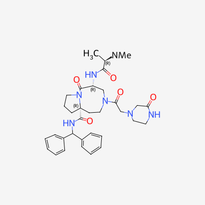 CN[C@H](C)C(=O)N[C@@H]1CN(C(=O)CN2CCNC(=O)C2)CC[C@@]2(C(=O)NC(c3ccccc3)c3ccccc3)CCCN2C1=O